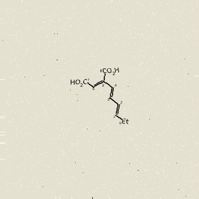 CCC=CC=C/C(=C/C(=O)O)C(=O)O